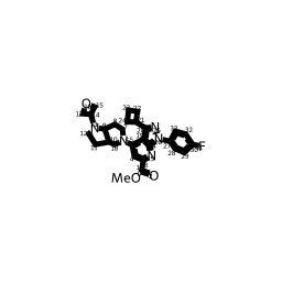 COC(=O)c1cc(N2CCC3C(CCN3C3COC3)C2)c2c(C3CCC3)nn(-c3ccc(F)cc3)c2n1